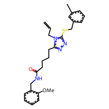 C=CCn1c(CCCCC(=O)NCc2ccccc2OC)nnc1SCc1cccc(C)c1